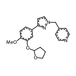 COc1ccc(-c2ccn(Cc3ccncc3)n2)cc1OC1CCCO1